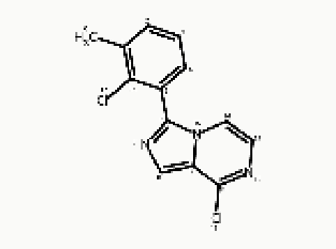 Cc1cccc(-c2ncc3c(Cl)nccn23)c1Cl